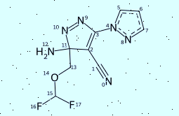 N#CC1=C(n2cccn2)N=NC1(N)COC(F)F